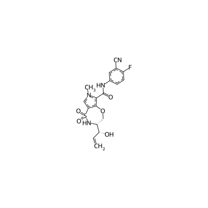 C=C[C@@H](O)[C@H]1COc2c(cn(C)c2C(=O)Nc2ccc(F)c(C#N)c2)S(=O)(=O)N1